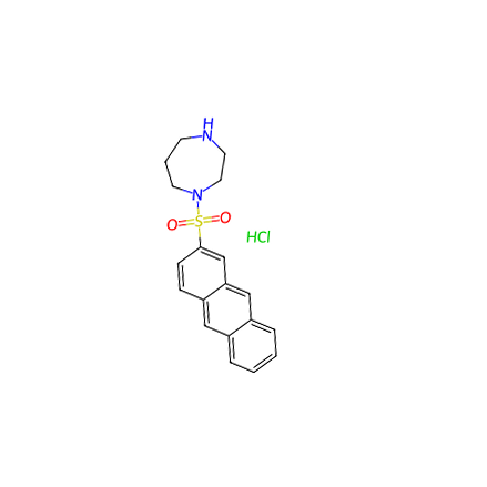 Cl.O=S(=O)(c1ccc2cc3ccccc3cc2c1)N1CCCNCC1